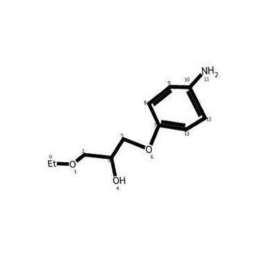 CCOCC(O)COc1ccc(N)cc1